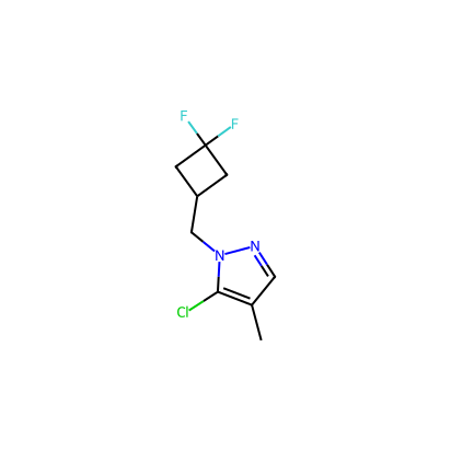 Cc1cnn(CC2CC(F)(F)C2)c1Cl